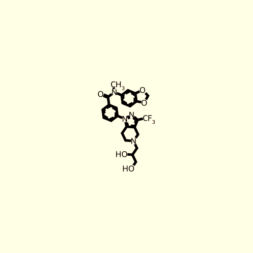 CN(C(=O)c1cccc(-n2nc(C(F)(F)F)c3c2CCN(CC(O)CO)C3)c1)c1ccc2c(c1)OCO2